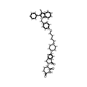 Cc1c(-c2ccccc2)n(Cc2ccc(OCCCCN3CCN(c4cc5c(s4)CN(C4CCC(=O)NC4=O)C5=O)CC3)cc2)c2ccccc12